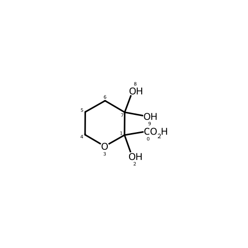 O=C(O)C1(O)OCCCC1(O)O